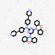 c1ccc2c(c1)Oc1ccccc1N2c1cc(N2c3ccccc3Oc3ccccc32)nc(N(c2ccc(-c3ccncc3)cc2)c2ccc(-c3ccncc3)cc2)n1